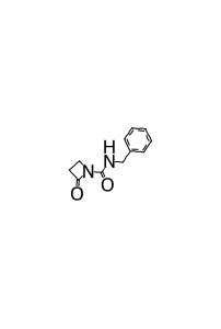 O=C1CCN1C(=O)NCc1ccccc1